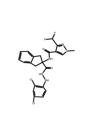 Cn1cc(C(=O)NC2(C(=O)NNc3ccc(Cl)cc3Cl)Cc3ccccc3C2)c(C(F)F)n1